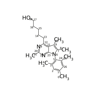 Cc1cc(C)c(-n2c(C)c(C)c3c(CCCCCO)nc(C)nc32)c(C)c1